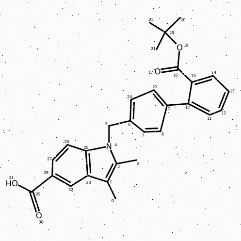 Cc1c(C)n(Cc2ccc(-c3ccccc3C(=O)OC(C)(C)C)cc2)c2ccc(C(=O)O)cc12